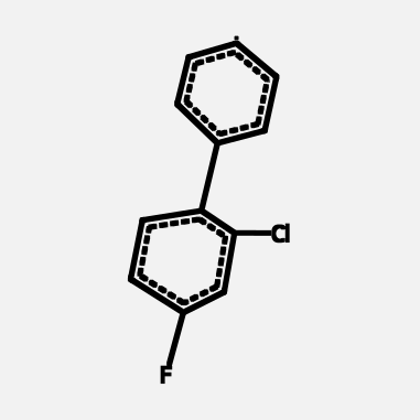 Fc1ccc(-c2cc[c]cc2)c(Cl)c1